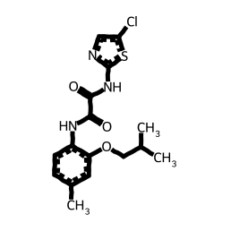 Cc1ccc(NC(=O)C(=O)Nc2ncc(Cl)s2)c(OCC(C)C)c1